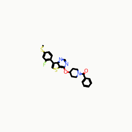 CSc1ccc(-c2csc3c(OC4CCN(C(=O)c5ccccc5)CC4)ncnc23)c(F)c1